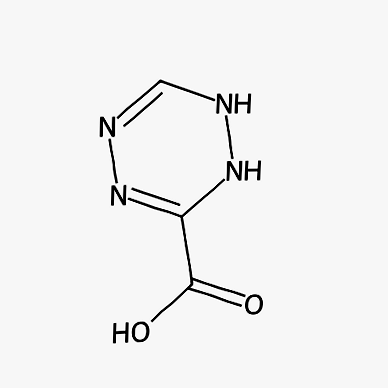 O=C(O)C1=NN=CNN1